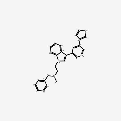 CN(CCn1cc(-c2cncc(-c3ccsc3)c2)c2ccccc21)Cc1ccccc1